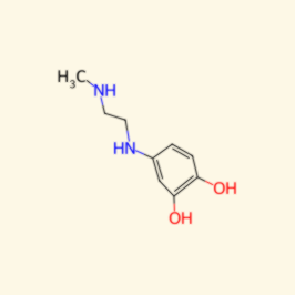 CNCCNc1ccc(O)c(O)c1